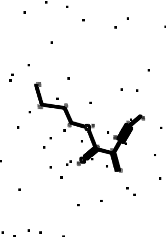 C=C(C#CC)C(=O)OCCCC